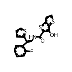 O=C(N/C=C(\c1cccs1)c1ccccc1F)c1sc2ccsc2c1O